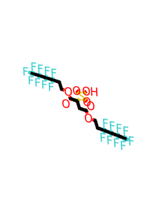 O=C(CC(C(=O)OCCC(F)(F)C(F)(F)C(F)(F)C(F)(F)F)S(=O)(=O)O)OCCC(F)(F)C(F)(F)C(F)(F)C(F)(F)F